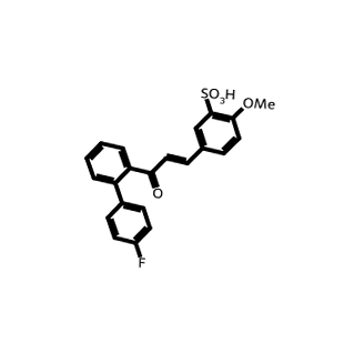 COc1ccc(C=CC(=O)c2ccccc2-c2ccc(F)cc2)cc1S(=O)(=O)O